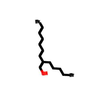 CC(C)CCCCCCC(CO)CCCCC(C)C